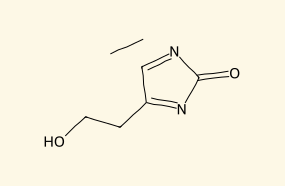 CC.O=C1N=CC(CCO)=N1